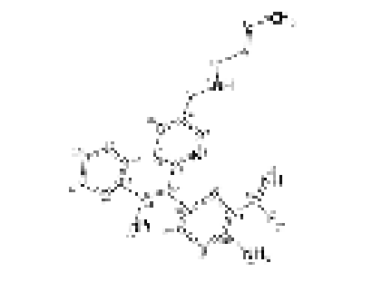 C/C=C/CNCc1cnc(/C(=C(/CCC)c2ccccc2)c2ccc(N)c(C(=N)F)c2)cn1